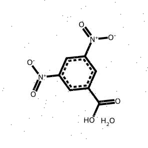 O.O=C(O)c1cc([N+](=O)[O-])cc([N+](=O)[O-])c1